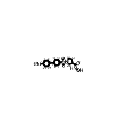 CC(C)(C)c1ccc(-c2ccc(S(=O)(=O)N3CC=C(C(=O)NO)C3)cc2)cc1